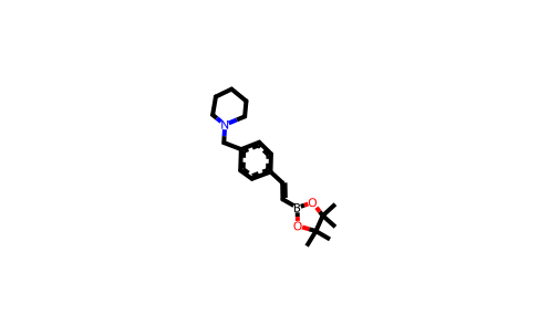 CC1(C)OB(C=Cc2ccc(CN3CCCCC3)cc2)OC1(C)C